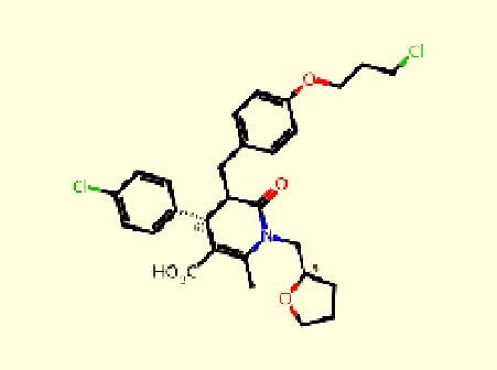 CC1=C(C(=O)O)[C@H](c2ccc(Cl)cc2)C(Cc2ccc(OCCCCl)cc2)C(=O)N1C[C@H]1CCCO1